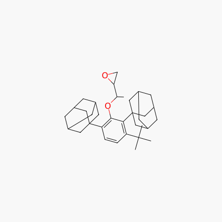 CC(Oc1c(C23CC4CC(CC(C4)C2)C3)ccc(C(C)(C)C)c1C12CC3CC(CC(C3)C1)C2)C1CO1